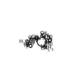 CC[C@H](NC(=O)C1(C(F)(F)F)CCCCC1)C(=O)N[C@@H](C)C(=O)N[C@H]1CCCCN(C)C(=O)[C@@H](CC)NC(=O)[C@H](Cc2cc(Cl)ccc2Cl)N(C)C(=O)[C@H](CC(C)C)NC1=O